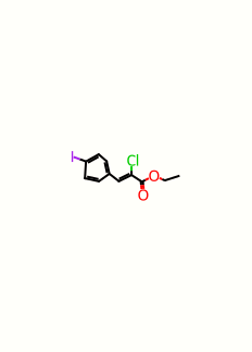 CCOC(=O)/C(Cl)=C/c1ccc(I)cc1